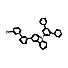 Brc1cccc(-c2cccc(-c3ccc4c(c3)c3ccccc3n4-c3cc(-c4ccccc4)cc(C4C=CC=CC4)c3)c2)c1